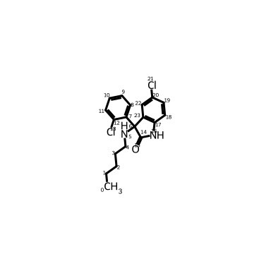 CCCCCNC1(c2ccccc2Cl)C(=O)Nc2ccc(Cl)cc21